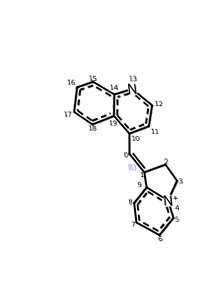 C(=C1/CC[n+]2ccccc21)/c1ccnc2ccccc12